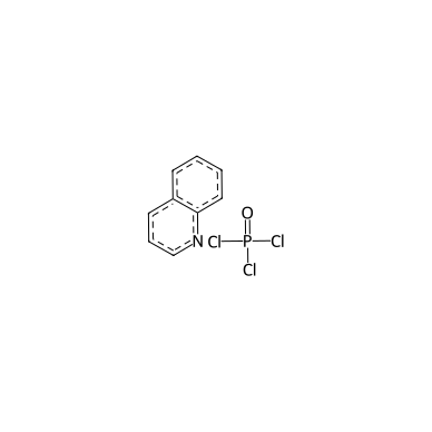 O=P(Cl)(Cl)Cl.c1ccc2ncccc2c1